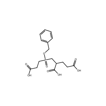 O=C(O)CCC(CP(=O)(CCC(=O)O)OCc1ccccc1)C(=O)O